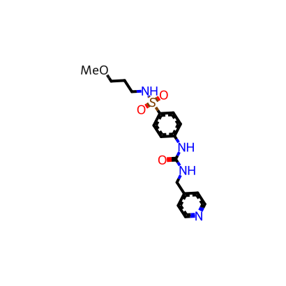 COCCCNS(=O)(=O)c1ccc(NC(=O)NCc2ccncc2)cc1